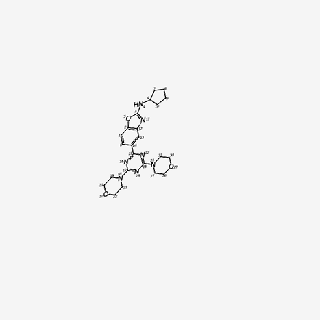 c1cc2oc(NC3CCCC3)nc2cc1-c1nc(N2CCOCC2)nc(N2CCOCC2)n1